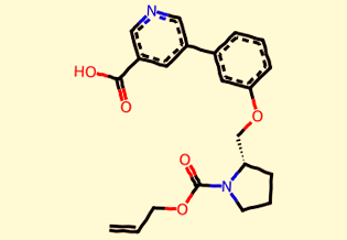 C=CCOC(=O)N1CCC[C@H]1COc1cccc(-c2cncc(C(=O)O)c2)c1